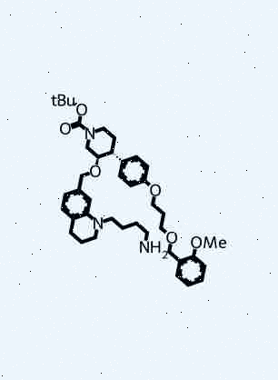 COc1ccccc1COCCCOc1ccc([C@H]2CCN(C(=O)OC(C)(C)C)C[C@@H]2OCc2ccc3c(c2)N(CCCCN)CCC3)cc1